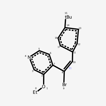 CCOc1cnccc1/C(Br)=C\c1ccc(C(C)(C)C)cc1